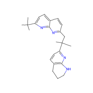 CC(C)(C)c1ccc2ccc(CC(C)(C)c3ccc4c(n3)NCCC4)nc2n1